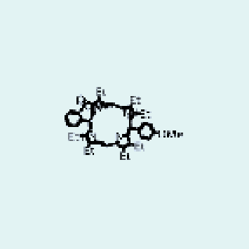 CCC1=C(CC)c2nc1cc1[nH]c(c(CC)c1CC)c(-c1ccccc1C(=O)OC)c1nc(cc3[nH]c(c(CC)c3CC)c2-c2ccc(OC)cc2)C(CC)=C1CC